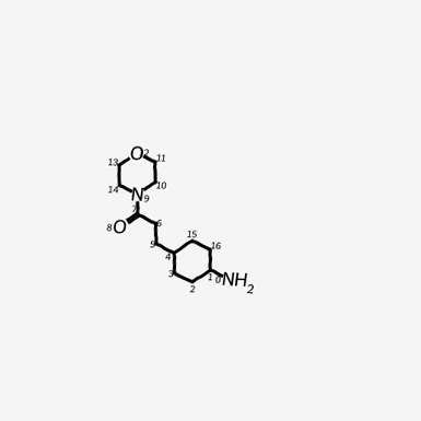 NC1CCC(CCC(=O)N2CCOCC2)CC1